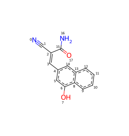 N#CC(=Cc1cc(O)c2ccccc2c1)C(N)=O